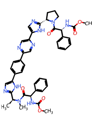 COC(=O)N[C@@H](C(=O)N(C)[C@@H](C)c1ncc(-c2ccc(-c3cnc(-c4cnc([C@@H]5CCCN5C(=O)[C@H](NC(=O)OC)c5ccccc5)[nH]4)cn3)cc2)[nH]1)c1ccccc1